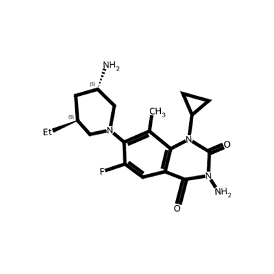 CC[C@H]1C[C@H](N)CN(c2c(F)cc3c(=O)n(N)c(=O)n(C4CC4)c3c2C)C1